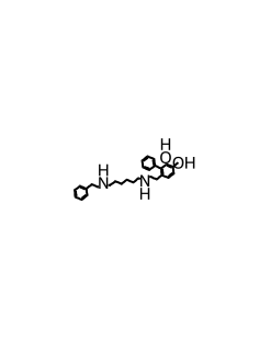 Oc1ccc(CCNCCCCCCNCCc2ccccc2)c(-c2ccccc2)c1O